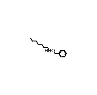 CCCCCCCNOCc1ccccc1